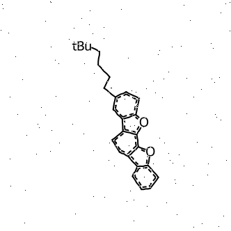 CC(C)(C)CCCCc1ccc2oc3c(ccc4c5ccccc5oc43)c2c1